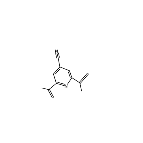 C=C(C)c1cc(C#N)cc(C(=C)C)n1